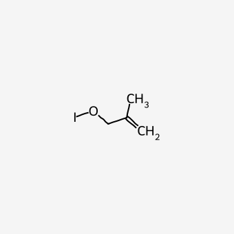 C=C(C)COI